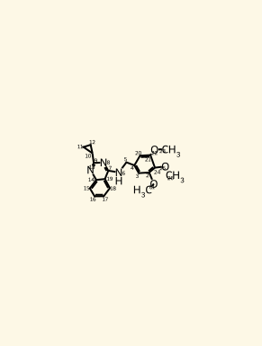 COc1cc(CNc2nc(C3CC3)nc3ccccc23)cc(OC)c1OC